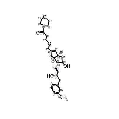 Cc1cccc(C[C@H](O)/C=C/[C@@H]2[C@H]3CC(COCCC(=O)N4CCOCC4)=C[C@H]3C[C@H]2O)c1